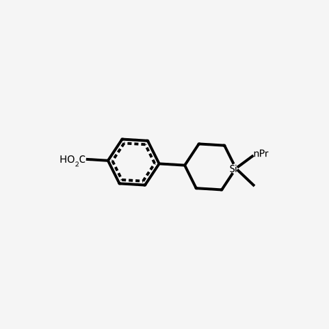 CCC[Si]1(C)CCC(c2ccc(C(=O)O)cc2)CC1